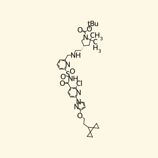 CC(C)(C)OC(=O)N1C[C@@H](CCNCc2cccc(S(=O)(=O)NC(=O)c3ccc(-n4ccc(OCCC5C6(CC6)C56CC6)n4)nc3Cl)n2)CC1(C)C